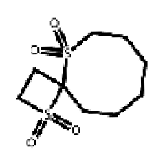 O=S1(=O)CCCCCCC12CCS2(=O)=O